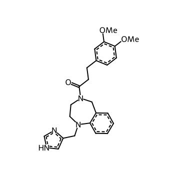 COc1ccc(CCC(=O)N2CCN(Cc3c[nH]cn3)c3ccccc3C2)cc1OC